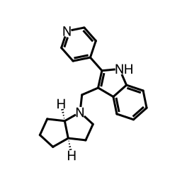 c1ccc2c(CN3CC[C@H]4CCC[C@H]43)c(-c3ccncc3)[nH]c2c1